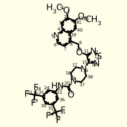 COc1cc2nccc(COc3nsnc3N3CCN(C(=O)Nc4cc(C(F)(F)F)cc(C(F)(F)F)c4)CC3)c2cc1OC